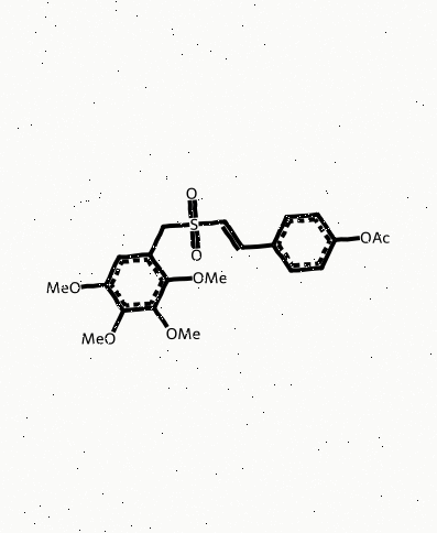 COc1cc(CS(=O)(=O)C=Cc2ccc(OC(C)=O)cc2)c(OC)c(OC)c1OC